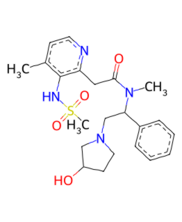 Cc1ccnc(CC(=O)N(C)C(CN2CCC(O)C2)c2ccccc2)c1NS(C)(=O)=O